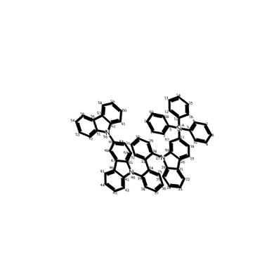 c1ccc([Si](c2ccccc2)(c2ccccc2)c2ccc3c4ccccc4n(-c4ccccc4-c4ccccc4-n4c5ccccc5c5cc(-n6c7ccccc7c7ccccc76)ccc54)c3c2)cc1